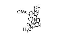 COCC(=O)N1CCC(N2C(=O)N(C)Cc3cnc4ccc(-c5cnc(CO)nc5)nc4c32)CC1